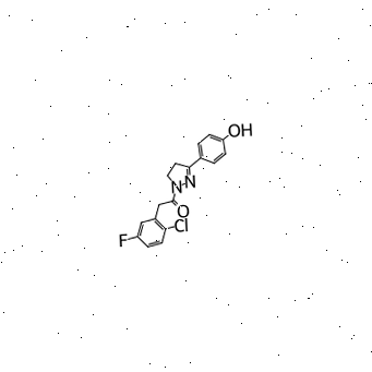 O=C(Cc1cc(F)ccc1Cl)N1CCC(c2ccc(O)cc2)=N1